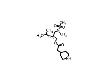 CC(C)O[C@H](COC(=O)CC1CCNCC1)CN(C)S(C)(=O)=O